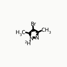 [2H]n1nc(C)c(Br)c1C